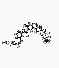 Cc1nc(OC2CCS(=O)(=O)CC2)ccc1-c1ccc(F)c(C(C)Oc2cccc(C[C@@H]3CC3C(=O)O)c2)c1